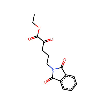 CCOC(=O)C(=O)CCCN1C(=O)c2ccccc2C1=O